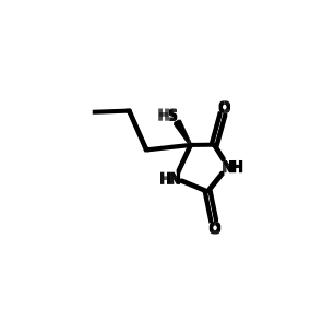 CCC[C@@]1(S)NC(=O)NC1=O